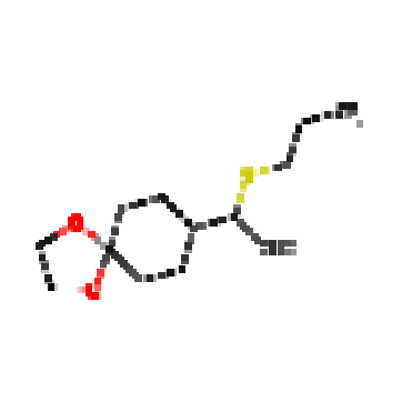 O=CC(SCCC(F)(F)F)C1CCC2(CC1)OCCO2